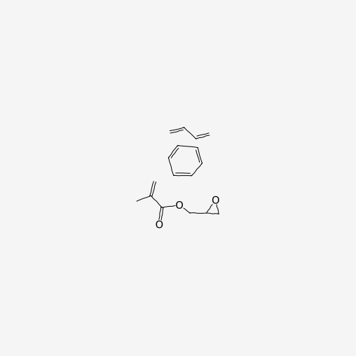 C=C(C)C(=O)OCC1CO1.C=CC=C.c1ccccc1